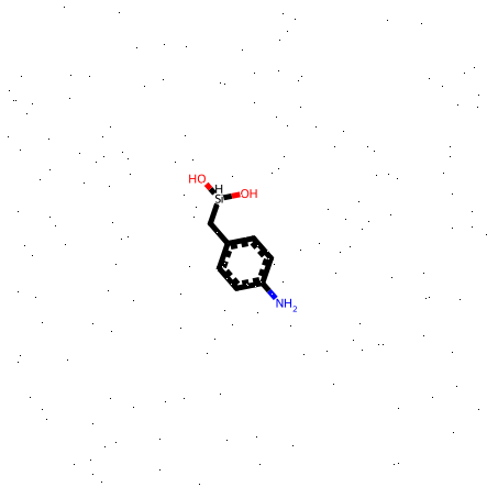 Nc1ccc(C[SiH](O)O)cc1